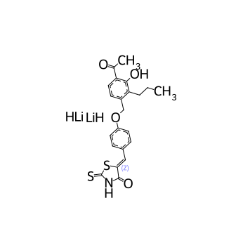 CCCc1c(COc2ccc(/C=C3\SC(=S)NC3=O)cc2)ccc(C(C)=O)c1O.[LiH].[LiH]